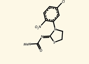 CNC(=O)N=C1SCCN1c1cc(Cl)ccc1[N+](=O)[O-]